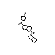 O=C(c1ccc(F)cc1)c1ccc2nc(N[C@@H]3CCc4ccccc43)ccc2c1